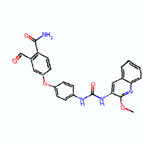 COc1nc2ccccc2cc1NC(=O)Nc1ccc(Oc2ccc(C(N)=O)c(C=O)c2)cc1